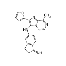 Cc1nccn2c(Nc3ccc4c(c3)CCC4=N)c(-c3ccco3)nc12